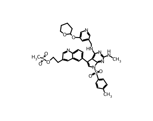 CNc1nc(NCc2cncc(OC3CCCCO3)c2)c2c(-c3ccc4ncc(CCOS(C)(=O)=O)cc4c3)cn(S(=O)(=O)c3ccc(C)cc3)c2n1